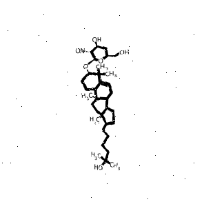 CC(C)(O)CCCCC1CCC2C3CC=C4C(CC[C@H](O[C@@H]5O[C@H](CO)C[C@H](O)[C@H]5N=O)C4(C)C)[C@]3(C)CC[C@]12C